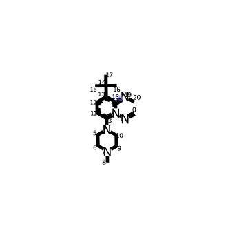 C=Nn1c(N2CCN(C)CC2)ccc(C(C)(C)C)/c1=N/C